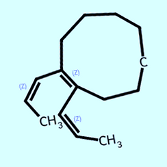 C\C=C/C1=C(\C=C/C)CCCCCCC1